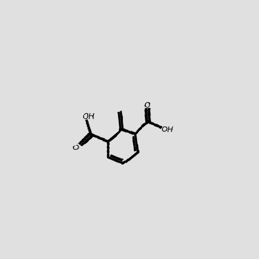 C=C1C(C(=O)O)=CC=CC1C(=O)O